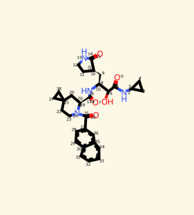 O=C(NC1CC1)C(O)[C@H](C[C@@H]1CCNC1=O)NC(=O)[C@@H]1CC2(CCN1C(=O)c1ccc3ccccc3c1)CC2